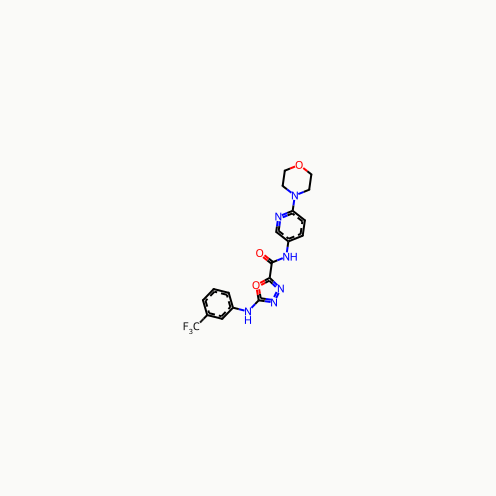 O=C(Nc1ccc(N2CCOCC2)nc1)c1nnc(Nc2cccc(C(F)(F)F)c2)o1